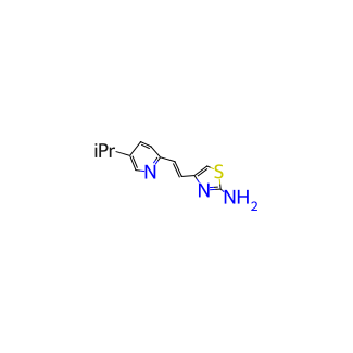 CC(C)c1ccc(C=Cc2csc(N)n2)nc1